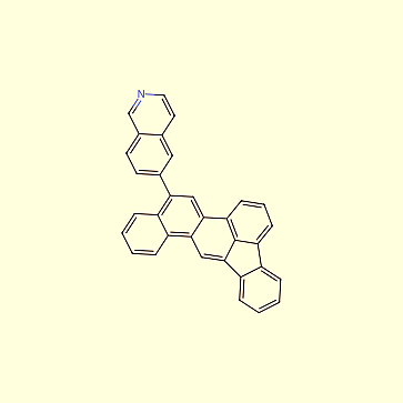 c1ccc2c(c1)-c1cccc3c1c-2cc1c2ccccc2c(-c2ccc4cnccc4c2)cc31